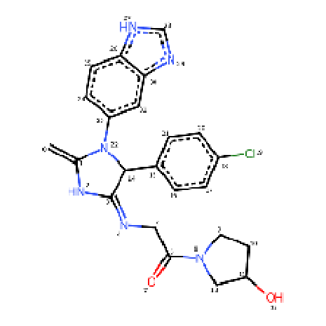 C=C1N/C(=N/CC(=O)N2CCC(O)C2)C(c2ccc(Cl)cc2)N1c1ccc2[nH]cnc2c1